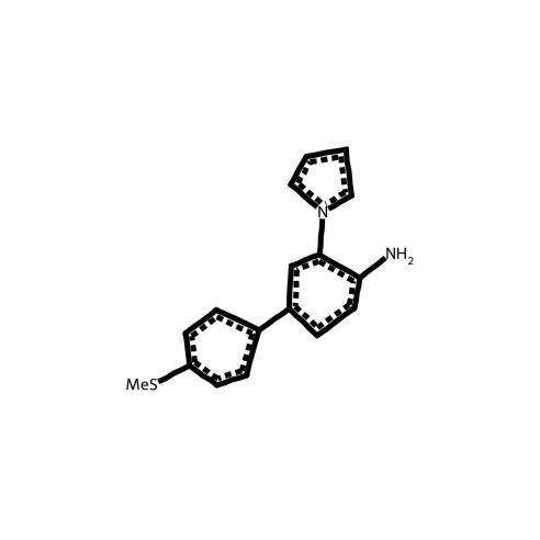 CSc1ccc(-c2ccc(N)c(-n3cccc3)c2)cc1